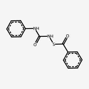 O=C(NSC(=O)c1ccccc1)Nc1ccccc1